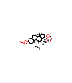 CC1([C@H]2CCC3[C@@H]4CC=C5C[C@@H](O)CC[C@]5(C)C4CC[C@@]32C)OCCO1